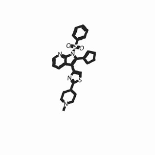 CN1CCC(c2nc(-c3c(C4=CCCC4)n(S(=O)(=O)c4ccccc4)c4ncccc34)cs2)CC1